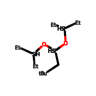 CC[SiH](CC)O[SiH](CC(C)(C)C)O[SiH](CC)CC